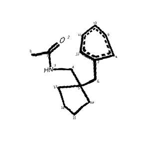 CC(=O)NCC1(Cc2ccccc2)CCCC1